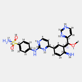 CO/C(=C1/C=C(c2ccnc(Nc3ccc(S(N)(=O)=O)cc3)n2)C=CC1=N)c1ccncn1